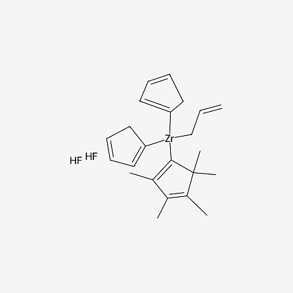 C=C[CH2][Zr]([C]1=CC=CC1)([C]1=CC=CC1)[C]1=C(C)C(C)=C(C)C1(C)C.F.F